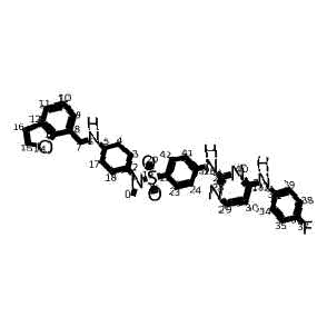 CN(C1CCC(NCc2cccc3c2OCC3)CC1)S(=O)(=O)c1ccc(Nc2nccc(Nc3ccc(F)cc3)n2)cc1